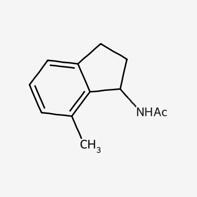 CC(=O)NC1CCc2cccc(C)c21